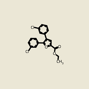 CCOC(=O)c1cc(-c2cccc(Cl)c2)c(-c2cccc(Cl)c2)o1